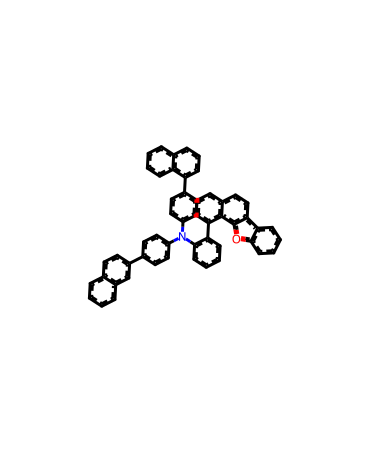 c1ccc(N(c2ccc(-c3ccc4ccccc4c3)cc2)c2ccc(-c3cccc4ccccc34)cc2)c(-c2cccc3ccc4c5ccccc5oc4c23)c1